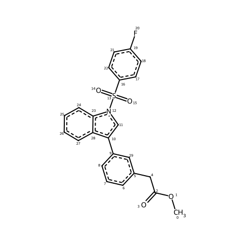 COC(=O)Cc1cccc(-c2cn(S(=O)(=O)c3ccc(F)cc3)c3ccccc23)c1